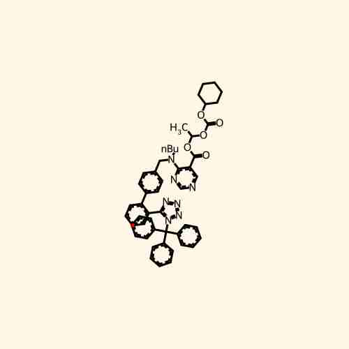 CCCCN(Cc1ccc(-c2ccccc2-c2nnnn2C(c2ccccc2)(c2ccccc2)c2ccccc2)cc1)c1ncncc1C(=O)OC(C)OC(=O)OC1CCCCC1